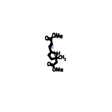 COC(=O)/C=C/C1CCC(C)(CC(=O)OC)N1